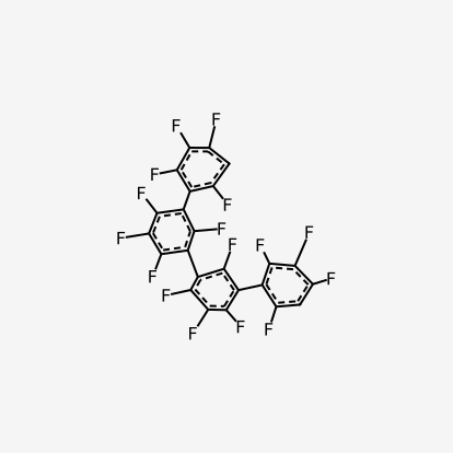 Fc1cc(F)c(-c2c(F)c(F)c(F)c(-c3c(F)c(F)c(F)c(-c4c(F)cc(F)c(F)c4F)c3F)c2F)c(F)c1F